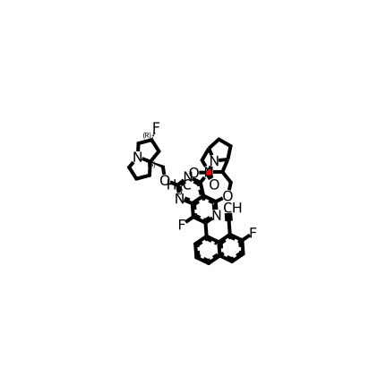 C#Cc1c(F)ccc2cccc(-c3nc4c5c(nc(OC[C@@]67CCCN6C[C@H](F)C7)nc5c3F)N3CC5CCC(C3CO4)N5C(=O)OC)c12